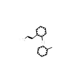 Cc1ccccc1.O=[N+]([O-])C=Cc1ccccc1Cl